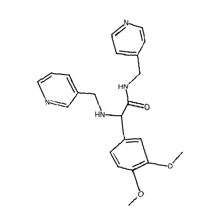 COc1ccc(C(NCc2cccnc2)C(=O)NCc2ccncc2)cc1OC